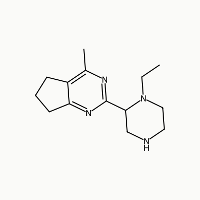 CCN1CCNCC1c1nc(C)c2c(n1)CCC2